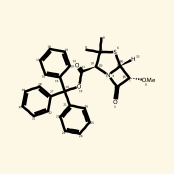 CO[C@@H]1C(=O)N2[C@@H]1SC(C)(C)[C@@H]2C(=O)OC(c1ccccc1)(c1ccccc1)c1ccccc1